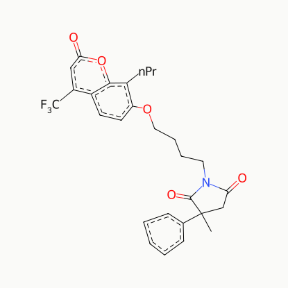 CCCc1c(OCCCCN2C(=O)CC(C)(c3ccccc3)C2=O)ccc2c(C(F)(F)F)cc(=O)oc12